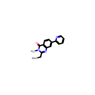 COCc1nc2cc(-c3ccccn3)ccc2c(=O)n1C